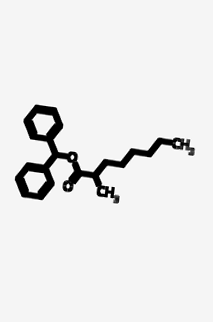 CCCCCCC(C)C(=O)OC(c1ccccc1)c1ccccc1